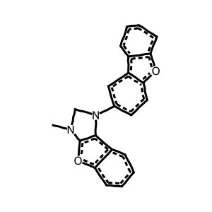 CN1CN(c2ccc3oc4ccccc4c3c2)c2c1oc1ccccc21